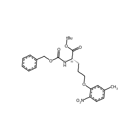 Cc1ccc([N+](=O)[O-])c(OCCC[C@H](NC(=O)OCc2ccccc2)C(=O)OC(C)(C)C)c1